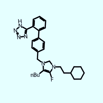 CCCCC1=C(F)N(CCC2CCCCC2)CN1Cc1ccc(-c2ccccc2-c2nnn[nH]2)cc1